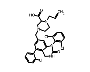 C=CCN1CCN(Cc2cc(-c3ccccc3Cl)c3c(c2)N(c2c(Cl)cccc2Cl)C(=O)NC3)CC1C(=O)O